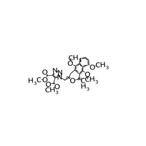 COC(=O)c1nnn(C[C@H]2Cc3c(c(OC)c4c(OC)cccc4c3OC)[C@@H](C)O2)c1C(=O)OC